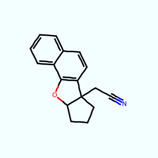 N#CCC12CCCC1Oc1c2ccc2ccccc12